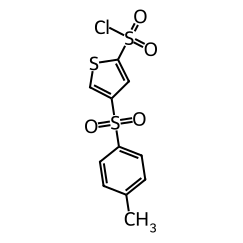 Cc1ccc(S(=O)(=O)c2csc(S(=O)(=O)Cl)c2)cc1